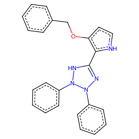 c1ccc(COc2cc[nH]c2C2=NN(c3ccccc3)N(c3ccccc3)N2)cc1